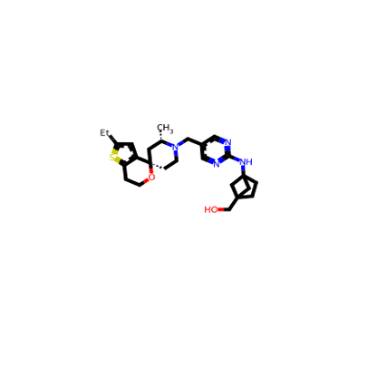 CCc1cc2c(s1)CCO[C@@]21CCN(Cc2cnc(NC34CCC(CO)(C3)C4)nc2)[C@@H](C)C1